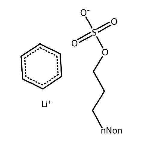 CCCCCCCCCCCCOS(=O)(=O)[O-].[Li+].c1ccccc1